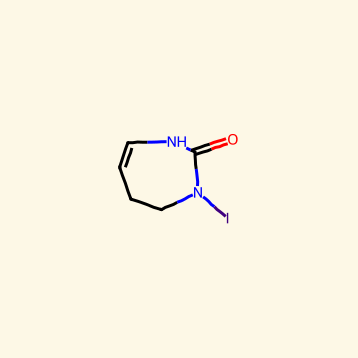 O=C1NC=CCCN1I